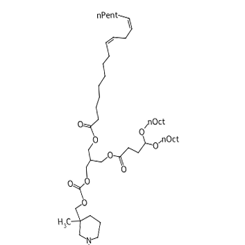 CCCCC/C=C\C/C=C\CCCCCCCC(=O)OCC(COC(=O)CCC(OCCCCCCCC)OCCCCCCCC)COC(=O)OCC1(C)CCCN(CC)C1